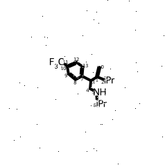 C=C(C(C)C)C(CNC(C)C)c1ccc(C(F)(F)F)cc1